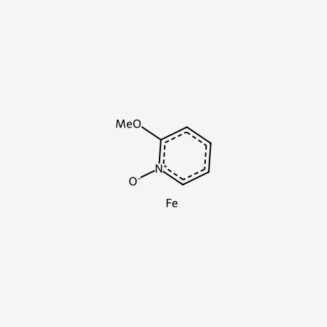 COc1cccc[n+]1[O-].[Fe]